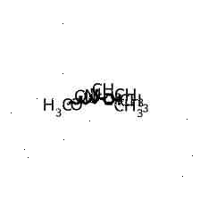 CCOC(=O)Cc1cc(-c2ccc(C(C)(C)C)cc2)n(C)n1